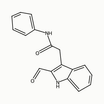 O=Cc1[nH]c2ccccc2c1CC(=O)Nc1ccccc1